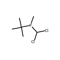 CP(C(Cl)Cl)C(C)(C)C